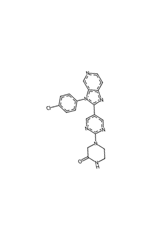 O=C1CN(c2ncc(-c3nc4ccncc4n3-c3ccc(Cl)cc3)cn2)CCN1